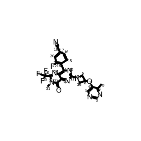 Cc1ncncc1OC1CN(c2nc(-c3ccc(C#N)cc3F)c3nc(C(F)(F)F)n(C)c(=O)c3n2)C1